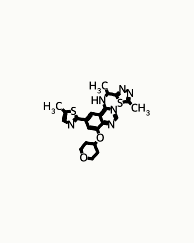 Cc1cnc(-c2cc(OC3CCOCC3)c3ncnc(NC(C)c4nnc(C)s4)c3c2)s1